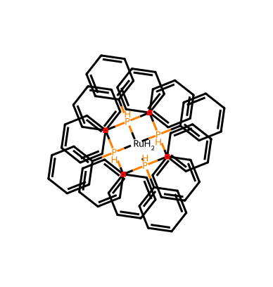 c1ccc([PH](c2ccccc2)(c2ccccc2)[RuH2]([PH](c2ccccc2)(c2ccccc2)c2ccccc2)([PH](c2ccccc2)(c2ccccc2)c2ccccc2)[PH](c2ccccc2)(c2ccccc2)c2ccccc2)cc1